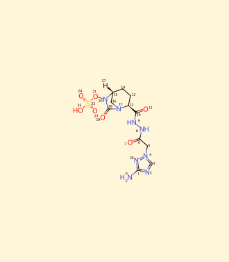 Nc1ncn(CC(=O)NNC(=O)[C@@H]2CC[C@@H]3CN2C(=O)N3OS(=O)(=O)O)n1